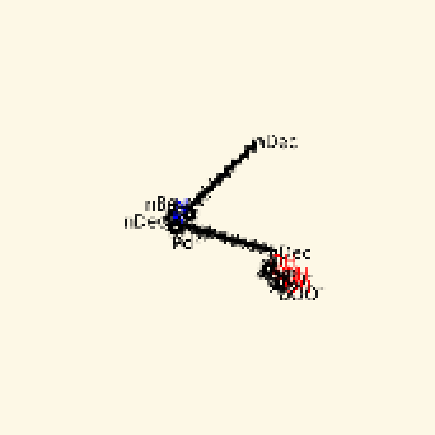 CCCCCCCCCCCCCCCCCCCCCCCCCC=CCCc1ccccc1N=C(CCCC)C(CCCCCCCCCCCC)=Nc1ccccc1CCC=CCCCCCCCCCCCCCCCCCCCCCCCCC.Cc1ccc(O)c(O)c1C(=O)[O-].Cc1ccc(O)c(O)c1C(=O)[O-].[Pd+2]